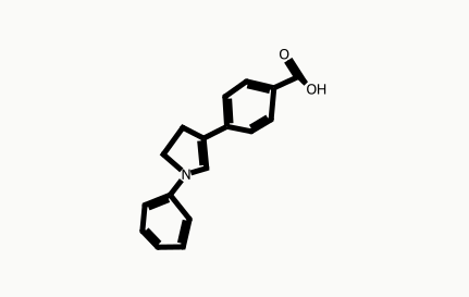 O=C(O)c1ccc(C2=CN(c3ccccc3)CC2)cc1